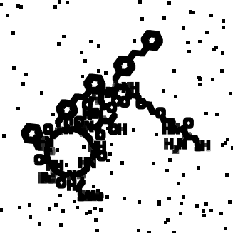 CCC(C)[C@@H]1NC(=O)[C@H](Cc2ccccc2)NC(=O)[C@H](Cc2ccc(CCc3ccccc3)cc2)NC(=O)[C@@H](NC(=O)[C@@H](NC(=O)[C@H](CO)NC(=O)[C@H](Cc2ccc(CCc3ccccc3)cc2)NC(=O)COCCOCCNC(=O)[C@@H](N)CS)C(C)O)CNC(=O)NC[C@H](CCSC)NC1=O